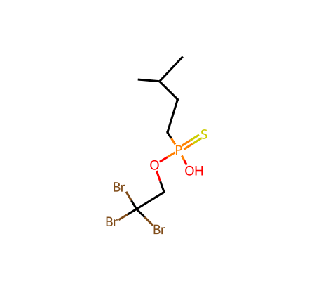 CC(C)CCP(O)(=S)OCC(Br)(Br)Br